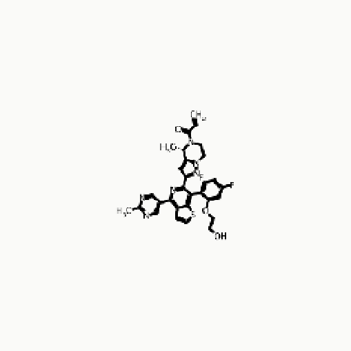 C=CC(=O)N1CCn2nc(-c3nc(-c4cnc(C)nc4)c4ccsc4c3-c3c(F)cc(F)cc3OCCO)cc2[C@@H]1C